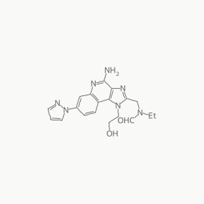 CCN(C=O)Cc1nc2c(N)nc3cc(-n4cccn4)ccc3c2n1CCO